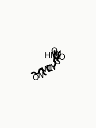 CCC(=O)c1ccc(N2CCN(Cc3cc4[nH]c(=O)n(C)c(=O)c4s3)CC2)c(C)n1